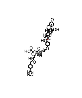 C[C@]12C=CC(=O)C=C1CC[C@@H]1[C@@H]2[C@@H](O)C[C@@]2(C)[C@H]1C[C@H]1O[C@@H](c3ccc(OC45CC(NC(=O)[C@H](CCC(=O)O)NC(=O)CNC(=O)Cc6ccc(-c7nncnn7)cc6)(C4)C5)cc3)O[C@]12C(=O)CO